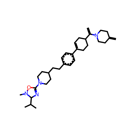 C=C1CCN(C(=C)C2CC=C(c3ccc(CCC4CCN(C5=NC(C(C)C)N(C)O5)CC4)cc3)CC2)CC1